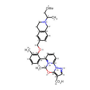 COCC(C)N1CCc2cc(COc3c(C)cccc3-c3cccc4[n+]3C(C)Oc3c(C(=O)O)cnn3-4)ccc2C1